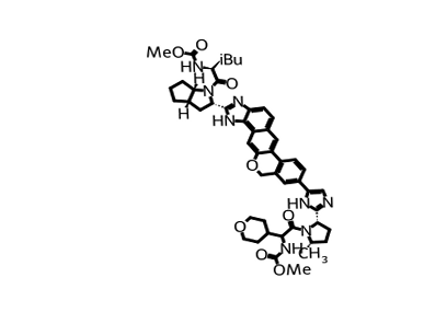 CC[C@H](C)[C@H](NC(=O)OC)C(=O)N1[C@H](c2nc3ccc4cc5c(cc4c3[nH]2)OCc2cc(-c3cnc([C@@H]4CC[C@H](C)N4C(=O)C(NC(=O)OC)C4CCOCC4)[nH]3)ccc2-5)C[C@@H]2CCC[C@@H]21